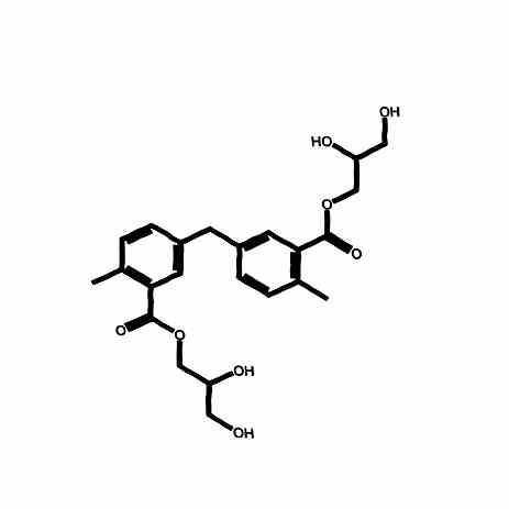 Cc1ccc(Cc2ccc(C)c(C(=O)OCC(O)CO)c2)cc1C(=O)OCC(O)CO